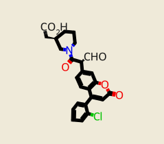 O=C[C@H](C(=O)N1CCC[C@H](CC(=O)O)C1)c1ccc2c(-c3ccccc3Cl)cc(=O)oc2c1